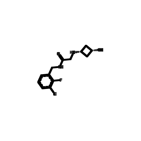 O=C(CN[C@H]1C[C@@H](O)C1)NCc1cccc(Cl)c1F